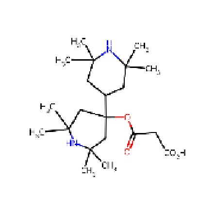 CC1(C)CC(C2(OC(=O)CC(=O)O)CC(C)(C)NC(C)(C)C2)CC(C)(C)N1